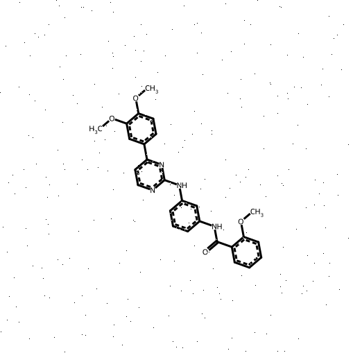 COc1ccc(-c2ccnc(Nc3cccc(NC(=O)c4ccccc4OC)c3)n2)cc1OC